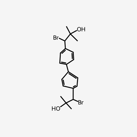 CC(C)(O)C(Br)c1ccc(-c2ccc(C(Br)C(C)(C)O)cc2)cc1